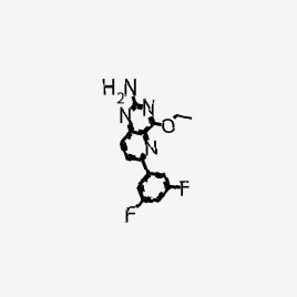 CCOc1nc(N)nc2ccc(-c3cc(F)cc(F)c3)nc12